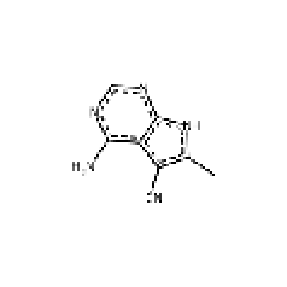 Cc1[nH]c2ncnc(N)c2c1C#N